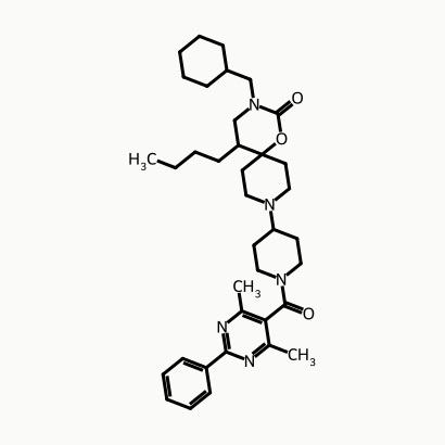 CCCCC1CN(CC2CCCCC2)C(=O)OC12CCN(C1CCN(C(=O)c3c(C)nc(-c4ccccc4)nc3C)CC1)CC2